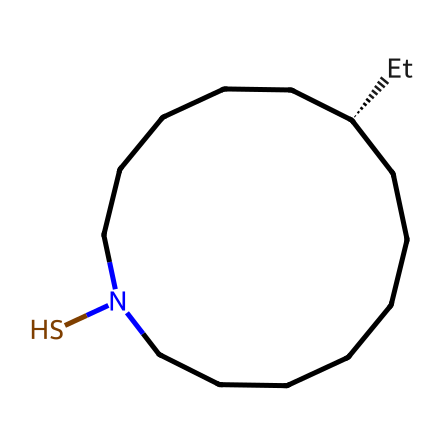 CC[C@@H]1CCCCCCCN(S)CCCCC1